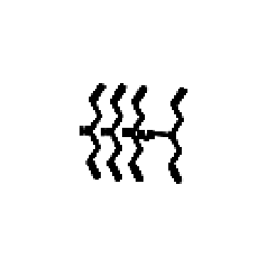 C=CCN([SiH3])CC=C.C=CCNCC=C.C=CCNCC=C.C=CCNCC=C